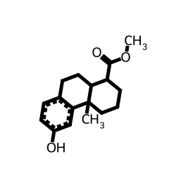 COC(=O)C1CCCC2(C)c3cc(O)ccc3CCC12